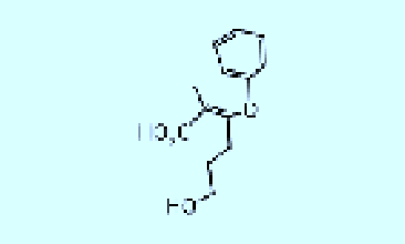 CC(C(=O)O)=C(CCCO)Oc1ccccc1